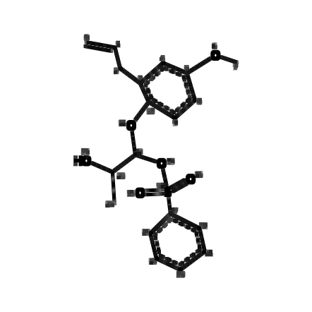 C=CCc1cc(OC)ccc1OC(OS(=O)(=O)c1ccccc1)C(C)O